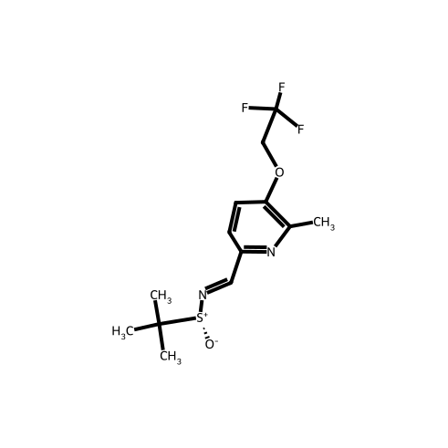 Cc1nc(C=N[S@+]([O-])C(C)(C)C)ccc1OCC(F)(F)F